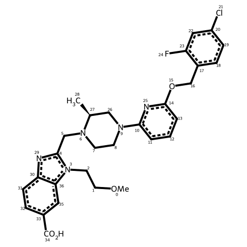 COCCn1c(CN2CCN(c3cccc(OCc4ccc(Cl)cc4F)n3)C[C@@H]2C)nc2ccc(C(=O)O)cc21